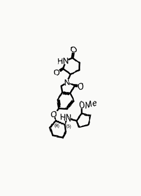 COC1CCCC1N[C@H]1CCCC[C@H]1Oc1ccc2c(c1)CN(C1CCC(=O)NC1=O)C2=O